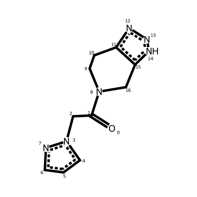 O=C(Cn1cccn1)N1CCc2nn[nH]c2C1